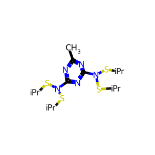 Cc1nc(N(SC(C)C)SC(C)C)nc(N(SC(C)C)SC(C)C)n1